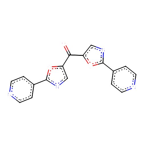 O=C(c1cnc(-c2ccncc2)o1)c1cnc(-c2ccncc2)o1